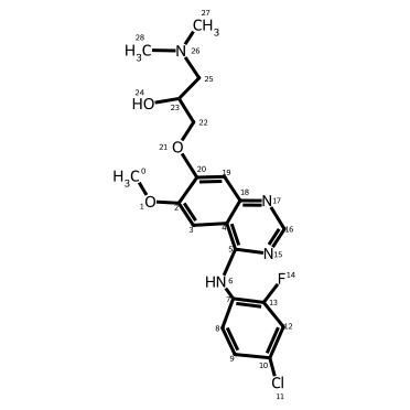 COc1cc2c(Nc3ccc(Cl)cc3F)ncnc2cc1OCC(O)CN(C)C